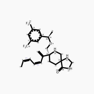 C=C(/C=C\C=C/C)[C@]1(CO[C@H](C)c2cc(C(F)(F)F)cc(C(F)(F)F)c2)CCC2(CN1)NCNC2=O